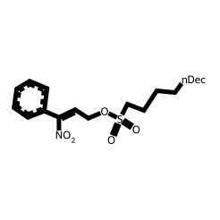 CCCCCCCCCCCCCCS(=O)(=O)OCC=C(c1ccccc1)[N+](=O)[O-]